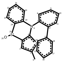 Cc1cc2c(o1)N(c1ccccc1-c1ccccc1)c1ccccc1[S+]2[O-]